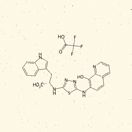 O=C(O)C(F)(F)F.O=C(O)[C@H](Cc1c[nH]c2ccccc12)Nc1nnc(Nc2ccc3cccnc3c2O)s1